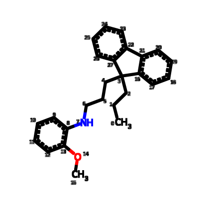 CCCC1(CCCNc2ccccc2OC)c2ccccc2-c2ccccc21